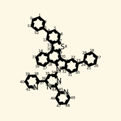 c1ccc(-c2ccc3sc4c(c3c2)c2ccccc2c2c4c3cc(-c4ccccc4)ccc3n2-c2cc(-c3ccccn3)nc(-c3ccccn3)n2)cc1